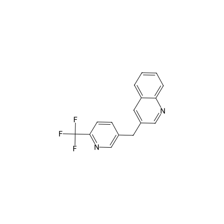 FC(F)(F)c1ccc(Cc2cnc3ccccc3c2)cn1